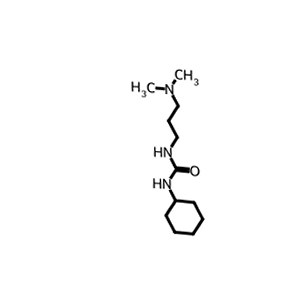 CN(C)CCCNC(=O)NC1CCCCC1